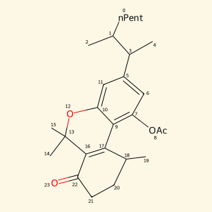 CCCCCC(C)C(C)c1cc(OC(C)=O)c2c(c1)OC(C)(C)C1=C2C(C)CCC1=O